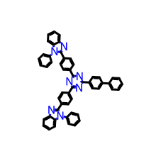 c1ccc(-c2ccc(-c3nc(-c4ccc(-c5nc6ccccc6n5-c5ccccc5)cc4)nc(-c4ccc(-c5nc6ccccc6n5-c5ccccc5)cc4)n3)cc2)cc1